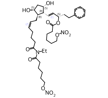 CCN(C(=O)CCC/C=C\C[C@@H]1[C@@H](/C=C/[C@H](CCc2ccccc2)OC(=O)CCCCCO[N+](=O)[O-])[C@@H](O)C[C@@H]1O)C(=O)CCCCCO[N+](=O)[O-]